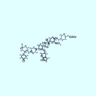 COCC1CCC(CNc2ccc(S(=O)(=O)NC(=O)c3ccc(N4CCN(CC5=C(c6ccc(Cl)cc6)CC(C)(C)CC5)CC4)cc3Oc3cnc4[nH]ccc4c3)cc2[N+](=O)[O-])CC1